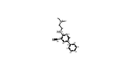 CN(C)CCNc1ncc(-c2ccccc2)cc1C#N